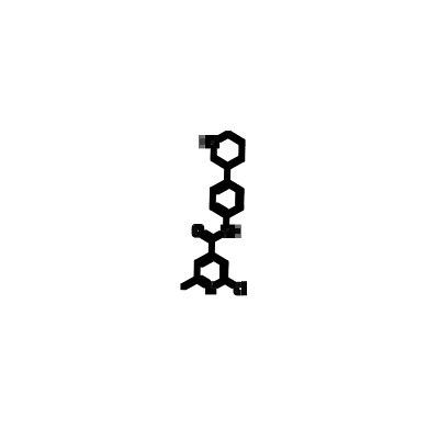 Cc1cc(C(=O)Nc2ccc(C3CCCNC3)cc2)cc(Cl)n1